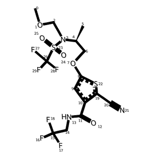 COCN([C@@H](C)COc1cc(C(=O)NCC(F)(F)F)c(C#N)s1)S(=O)(=O)C(F)(F)F